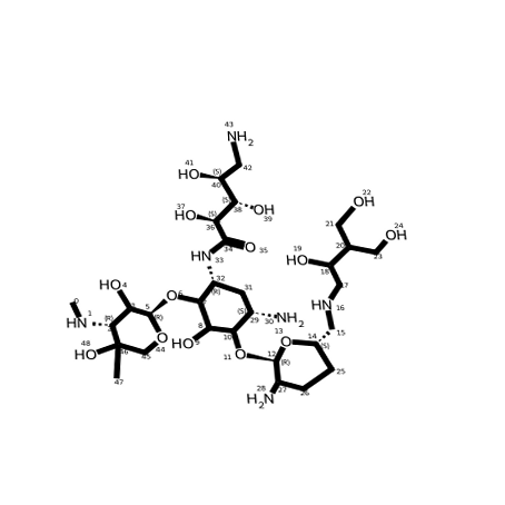 CN[C@@H]1C(O)[C@@H](OC2C(O)C(O[C@H]3O[C@H](CNCC(O)C(CO)CO)CCC3N)[C@@H](N)C[C@H]2NC(=O)[C@@H](O)[C@@H](O)[C@@H](O)CN)OCC1(C)O